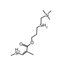 C[SiH2]C=C(C)C(=O)OCCC[SiH2]C[Si](C)(C)C